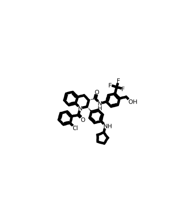 O=C(Nc1ccc(CO)c(C(F)(F)F)c1)[C@H]1Cc2ccccc2N(C(=O)c2ccccc2Cl)[C@H]1c1ccc(NC2CCCC2)cc1